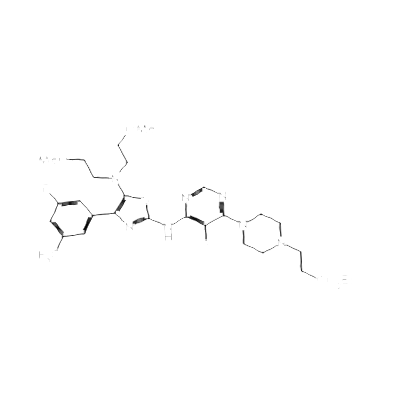 CCOC(=O)CCN1CCN(c2ncnc(Nc3nc(-c4cc(F)cc(C(F)(F)F)c4)c(N(CCOC)CCOC)s3)c2F)CC1